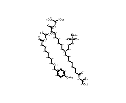 CCCCCCCCC(CC)OC(=O)CCCCCCCN(CCCCCCCC(=O)OC(CCCCCCCC)CCCCCCCC)CCCS(=O)(=O)NC.CCCCCCCCC(CC)OC(=O)CCCCCCCNCc1ccc(OC)cc1